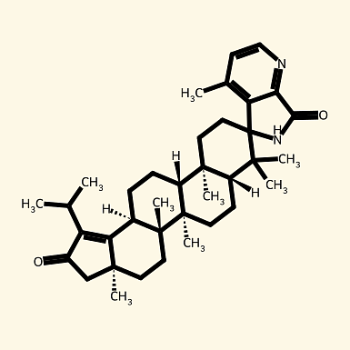 Cc1ccnc2c1C1(CC[C@]3(C)[C@H]4CC[C@@H]5C6=C(C(C)C)C(=O)C[C@]6(C)CC[C@@]5(C)[C@]4(C)CC[C@H]3C1(C)C)NC2=O